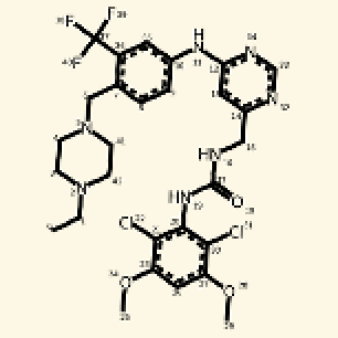 CCN1CCN(Cc2ccc(Nc3cc(CNC(=O)Nc4c(Cl)c(OC)cc(OC)c4Cl)ncn3)cc2C(F)(F)F)CC1